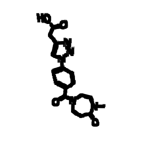 CN1CCN(C(=O)c2ccc(-n3cc(CC(=O)O)nn3)cc2)CCC1=O